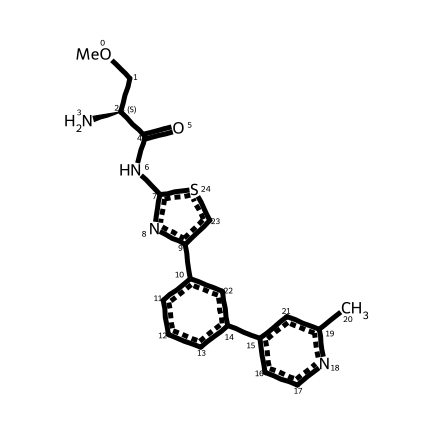 COC[C@H](N)C(=O)Nc1nc(-c2cccc(-c3ccnc(C)c3)c2)cs1